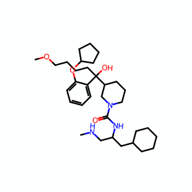 CNCC(CC1CCCCC1)NC(=O)N1CCCC(C(O)(CCCCOC)c2ccccc2OC2CCCC2)C1